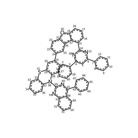 c1ccc(-c2cc(-c3ccccc3)nc(-c3cccc4oc5ccc(-c6ccc7c(c6)Sc6ccccc6N7c6nc(-c7ccccc7)c7ccccc7n6)cc5c34)n2)cc1